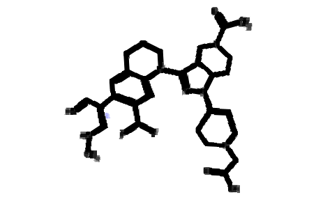 CN/C=C(\C=N)c1cc2c(cc1C(F)F)N(C1=NN(C3CCN(CC(=O)O)CC3)C3CCN(C(C)=O)CC13)CCC2